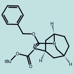 CC(C)(C)OC(=O)N[C@@H]1C[C@@H]2CC[C@H](C1)N(C(=O)OCc1ccccc1)C2